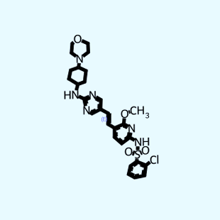 COc1nc(NS(=O)(=O)c2ccccc2Cl)ccc1/C=C/c1cnc(NC2CCC(N3CCOCC3)CC2)nc1